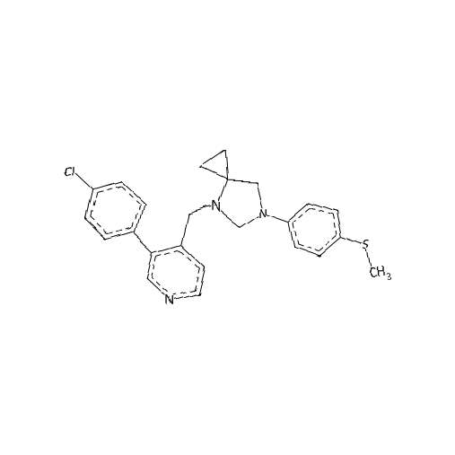 CSc1ccc(N2CN(Cc3ccncc3-c3ccc(Cl)cc3)C3(CC3)C2)cc1